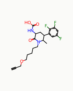 C#CCOCCCCCN1C(=O)C(NC(=O)O)CC(c2cc(F)cc(F)c2F)C1C